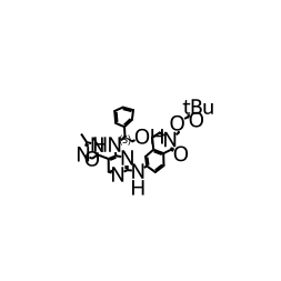 Cc1noc(-c2cnc(Nc3ccc4c(c3)CCN(COC(=O)C(C)(C)C)C4=O)nc2N[C@H](CO)c2ccccc2)n1